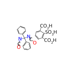 O=C(O)c1cccc(C(=O)O)c1S(=O)(=O)O.O=C=NC(N=C=O)(c1ccccc1)c1ccccc1